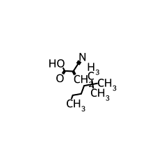 C=C(C#N)C(=O)O.CCCCC(C)(C)C